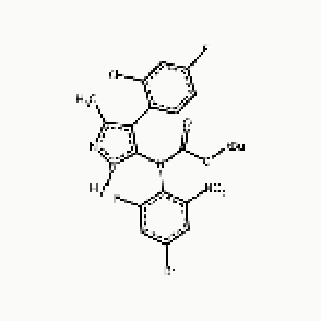 Cc1nn(C)c(N(C(=O)OC(C)(C)C)c2c(F)cc(Br)cc2[N+](=O)[O-])c1-c1ccc(F)cc1Cl